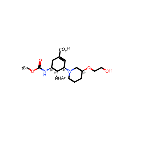 CC(=O)N[C@@H]1[C@@H](NC(=O)OC(C)(C)C)CC(C(=O)O)=C[C@H]1N1CCC[C@H](OCCO)C1